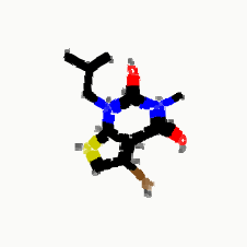 CC(C)Cn1c(=O)n(C)c(=O)c2c(Br)csc21